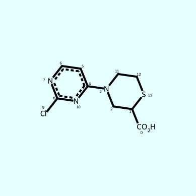 O=C(O)C1CN(c2ccnc(Cl)n2)CCS1